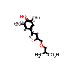 CC(COCC1CC(c2cc(C(C)(C)C)c(O)c(C(C)(C)C)c2)=NO1)C(=O)O